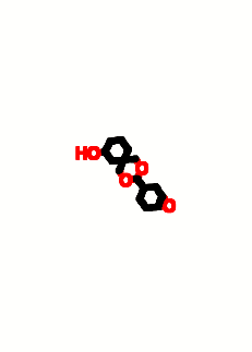 OC1CCCC2(COC(C3CCC4OC4C3)OC2)C1